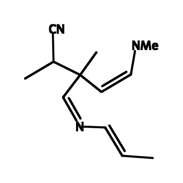 C/C=C/N=C\C(C)(/C=C\NC)C(C)C#N